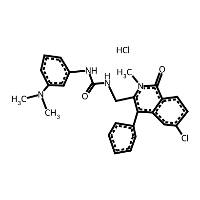 CN(C)c1cccc(NC(=O)NCc2c(-c3ccccc3)c3cc(Cl)ccc3c(=O)n2C)c1.Cl